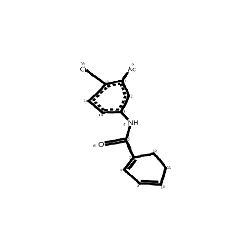 CC(=O)c1cc(NC(=O)C2=CC=CCC2)ccc1Cl